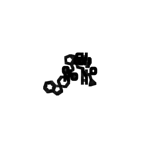 CC1(C)C2CCC1(CS(=O)(=O)N1CCC3(C=Cc4ccccc43)CC1)C(O)(CCNC(=O)C1CC1)C2